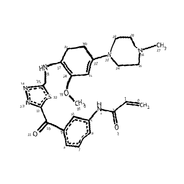 C=CC(=O)Nc1cccc(C(=O)c2nnc(NC3=C(OC)C=C(N4CCN(C)CC4)CC3)s2)c1